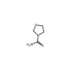 NC(=S)N1CCOC1